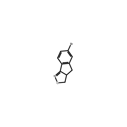 Brc1ccc2c(c1)CC1CON=C21